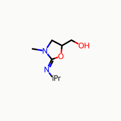 CC(C)/N=C1\OC(CO)CN1C